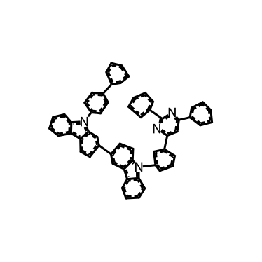 c1ccc(-c2ccc(-n3c4ccccc4c4ccc(-c5ccc6c(c5)c5ccccc5n6-c5cccc(-c6cc(-c7ccccc7)nc(-c7ccccc7)n6)c5)cc43)cc2)cc1